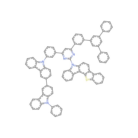 c1ccc(-c2cc(-c3ccccc3)cc(-c3cccc(-c4cc(-c5cccc(-n6c7ccccc7c7cc(-c8ccc9c(c8)c8ccccc8n9-c8ccccc8)ccc76)c5)nc(-n5c6ccccc6c6c7sc8ccccc8c7ccc65)n4)c3)c2)cc1